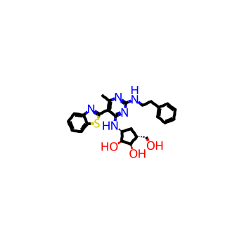 Cc1nc(NCCc2ccccc2)nc(N[C@@H]2C[C@H](CO)[C@@H](O)[C@H]2O)c1-c1nc2ccccc2s1